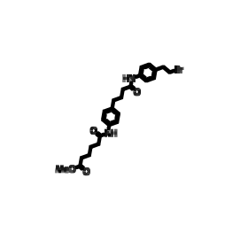 COC(=O)CCCCC(=O)Nc1ccc(CCCC(=O)Nc2ccc(CCBr)cc2)cc1